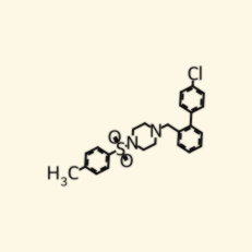 Cc1ccc(S(=O)(=O)N2CCN(Cc3ccccc3-c3ccc(Cl)cc3)CC2)cc1